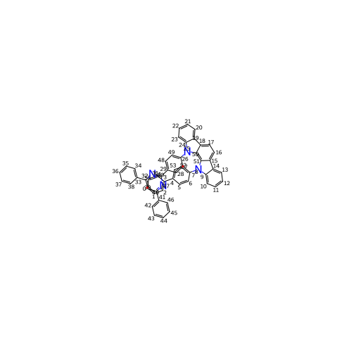 c1ccc(-c2ccc(-n3c4ccccc4c4ccc5c6ccccc6n(-c6ccc(-c7nc(-c8ccccc8)cc(-c8ccccc8)n7)cc6)c5c43)cc2)cc1